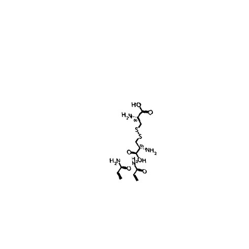 C=CC(N)=O.C=CC(N)=O.N[C@@H](CSSC[C@H](N)C(=O)O)C(=O)O